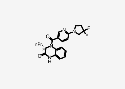 CCC[C@H]1C(=O)Nc2ccccc2N1C(=O)c1ccc(N2CCC(F)(F)C2)nc1